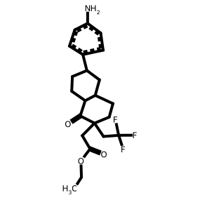 CCOC(=O)CC1(CC(F)(F)F)CCC2CC(c3ccc(N)cc3)CCC2C1=O